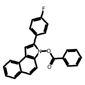 O=C(On1c(-c2ccc(F)cc2)cc2c3ccccc3ccc21)c1ccccc1